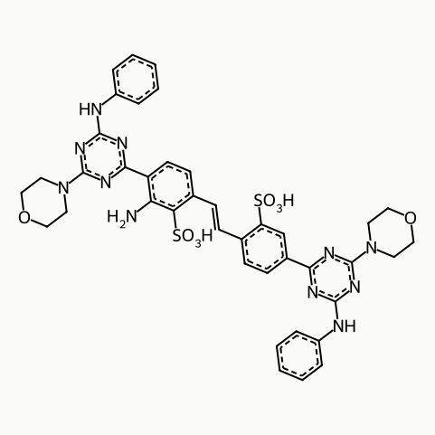 Nc1c(-c2nc(Nc3ccccc3)nc(N3CCOCC3)n2)ccc(C=Cc2ccc(-c3nc(Nc4ccccc4)nc(N4CCOCC4)n3)cc2S(=O)(=O)O)c1S(=O)(=O)O